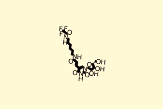 O=C(/C=C/c1cn([C@@H]2O[C@H](CO)[C@@H](O)[C@H]2O)c(=O)[nH]c1=O)NCCCCCCNC(=O)C(F)(F)F